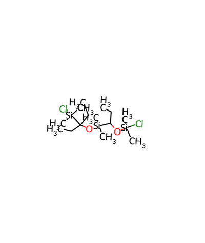 CCC(O[Si](C)(C)Cl)[Si](C)(C)OC(CC)(CC)[Si](C)(C)Cl